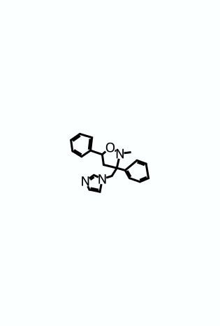 CN1OC(c2ccccc2)CC1(Cn1ccnc1)c1ccccc1